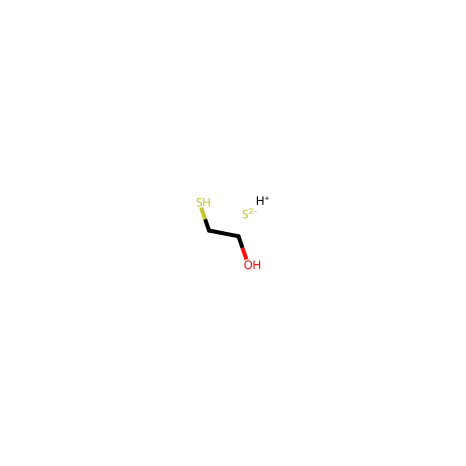 OCCS.[H+].[S-2]